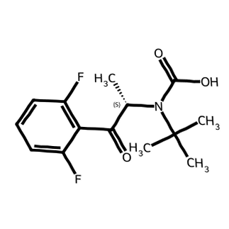 C[C@@H](C(=O)c1c(F)cccc1F)N(C(=O)O)C(C)(C)C